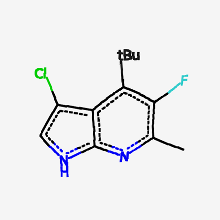 Cc1nc2[nH]cc(Cl)c2c(C(C)(C)C)c1F